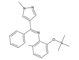 Cc1cccc(O[Si](C)(C)C)c1N=C(c1ccccc1)c1cnn(C)c1